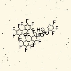 Fc1c(F)c(F)c(-c2c(F)c(F)c(F)c(F)c2F)c(F)c1F.Fc1c(F)c(F)c(-c2c(F)c(F)c(F)c(F)c2F)c(F)c1F.OB(O)Oc1ccc(F)c(F)c1F